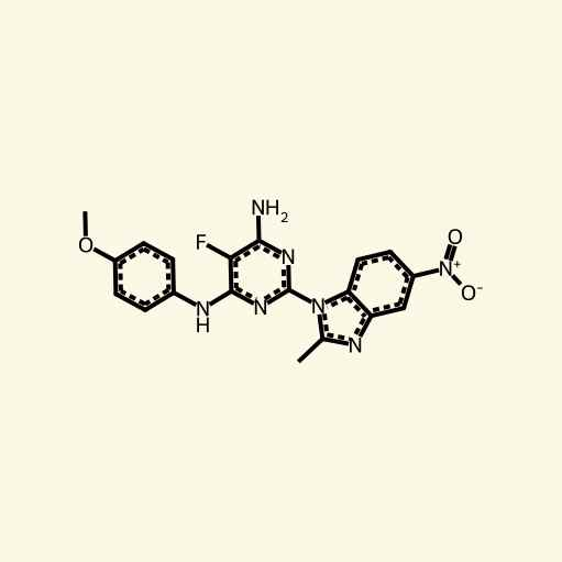 COc1ccc(Nc2nc(-n3c(C)nc4cc([N+](=O)[O-])ccc43)nc(N)c2F)cc1